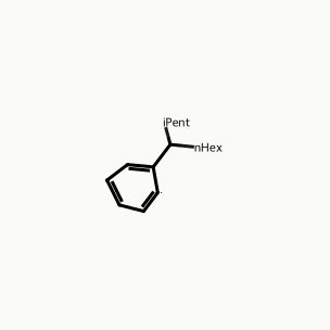 CCCCCCC(c1[c]cccc1)C(C)CCC